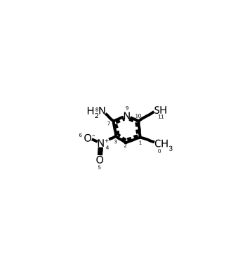 Cc1cc([N+](=O)[O-])c(N)nc1S